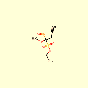 C#CCC(OC)(P=O)S(=O)(=O)OCC